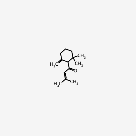 C=C1CCCC(C)(C)C1C(=O)C=C(C)C